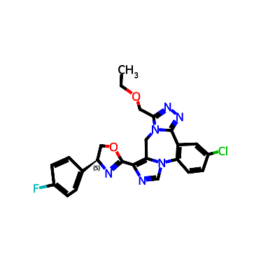 CCOCc1nnc2n1Cc1c(C3=N[C@@H](c4ccc(F)cc4)CO3)ncn1-c1ccc(Cl)cc1-2